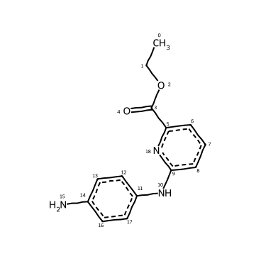 CCOC(=O)c1cccc(Nc2ccc(N)cc2)n1